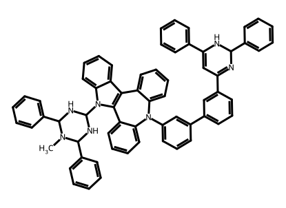 CN1C(c2ccccc2)NC(n2c3c(c4ccccc42)-c2ccccc2N(c2cccc(-c4cccc(C5=NC(c6ccccc6)NC(c6ccccc6)=C5)c4)c2)c2ccccc2-3)NC1c1ccccc1